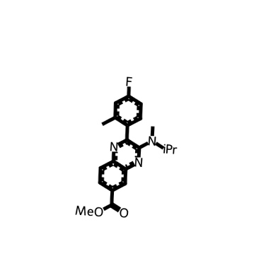 COC(=O)c1ccc2nc(-c3ccc(F)cc3C)c(N(C)C(C)C)nc2c1